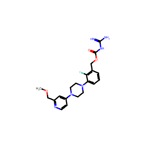 COCc1cc(N2CCN(c3cccc(COC(=O)NC(=N)N)c3F)CC2)ccn1